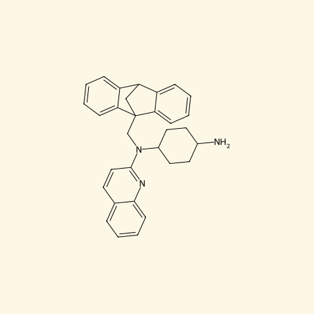 NC1CCC(N(CC23CC(c4ccccc42)c2ccccc23)c2ccc3ccccc3n2)CC1